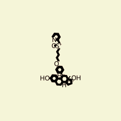 C[C@]12C[C@H](c3ccc(OCCCCC[S+]([O-])Cc4ccccn4)cc3)[C@@H]3c4ccc(O)cc4CC[C@H]3[C@@H]1CC[C@@H]2O